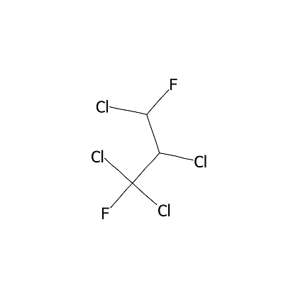 FC(Cl)C(Cl)C(F)(Cl)Cl